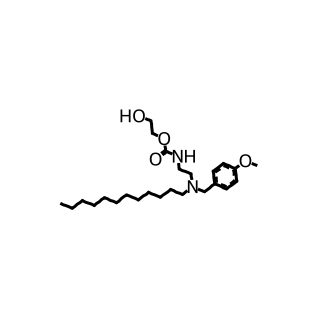 CCCCCCCCCCCCN(CCNC(=O)OCCO)Cc1ccc(OC)cc1